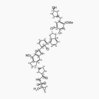 COc1nc(O[C@H]2CCc3c(-c4cccc(-c5nc6cc7c(c(C#N)c6o5)CC[C@H]7N5CC[C@@H](C(=O)NS(=O)(=O)C6(C)CC6)C5)c4Cl)cccc32)c(Cl)cc1CN1CC[C@@H](O)C1